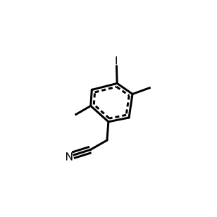 Cc1cc(CC#N)c(C)cc1I